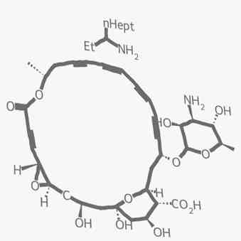 CCCCCCCC(N)CC.C[C@@H]1C\C=C/C=C\C=C/C=C\[C@H](OC2O[C@H](C)[C@@H](O)[C@H](N)[C@@H]2O)C[C@@H]2O[C@](O)(C[C@@H](O)C[C@H]3O[C@@H]3/C=C\C(=O)O1)C[C@H](O)[C@H]2C(=O)O